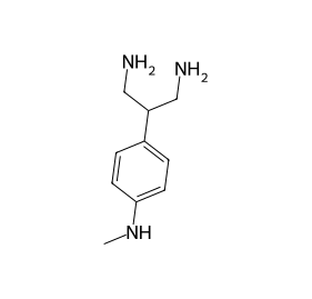 CNc1ccc(C(CN)CN)cc1